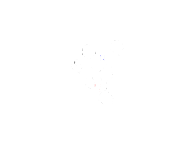 c1ccc(N2c3ccccc3C3(c4ccccc4-c4ccccc43)c3c2ccc2c3oc3ccccc32)cc1